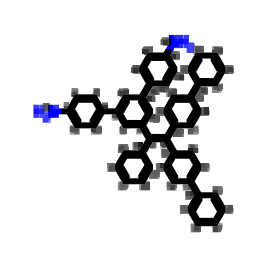 Nc1ccc(-c2cc(C(=C(c3ccc(-c4ccccc4)cc3)c3ccc(-c4ccccc4)cc3)c3ccccc3)cc(-c3ccc(N)cc3)c2)cc1